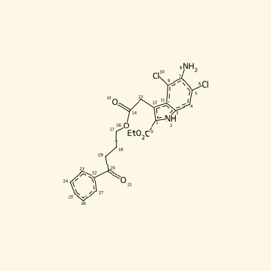 CCOC(=O)c1[nH]c2cc(Cl)c(N)c(Cl)c2c1CC(=O)OCCCC(=O)c1ccccc1